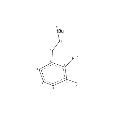 Cc1cccc(CCC(C)(C)C)c1F